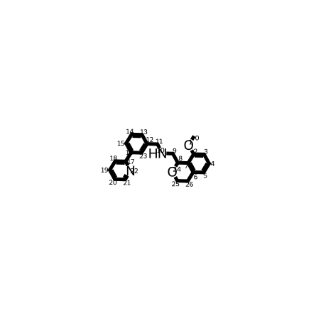 COc1cccc2c1C(CNCc1cccc(-c3ccccn3)c1)OCC2